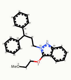 COCCOc1c2ccccc2nn1CCC(c1ccccc1)c1ccccc1